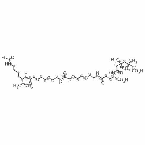 C=C(C)C(CCCCNC(=O)CC)NC(=O)COCCOCCNC(=O)COCCOCCNC(=O)CCC(NC(=O)CC(C)(C)CC(C)(C)CC(=O)O)C(=O)O